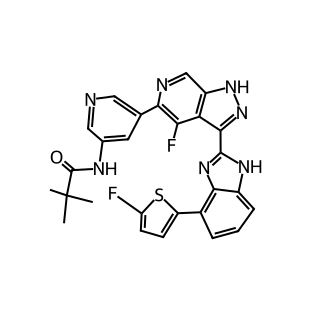 CC(C)(C)C(=O)Nc1cncc(-c2ncc3[nH]nc(-c4nc5c(-c6ccc(F)s6)cccc5[nH]4)c3c2F)c1